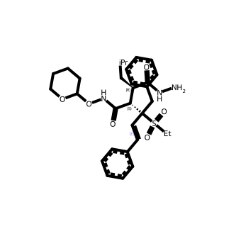 CCS(=O)(=O)C(/C=C/c1ccccc1)(Cc1ccccc1)[C@H](C(=O)NOC1CCCCO1)[C@@H](CC(C)C)C(=O)NN